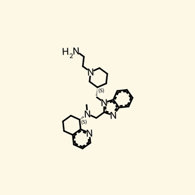 CN(Cc1nc2ccccc2n1C[C@H]1CCCN(CCN)C1)[C@H]1CCCc2cccnc21